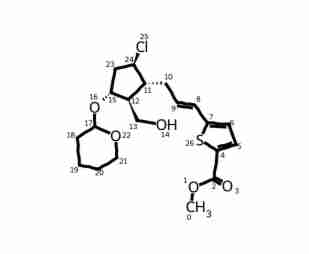 COC(=O)c1ccc(/C=C/C[C@@H]2[C@@H](CO)[C@H](OC3CCCCO3)C[C@H]2Cl)s1